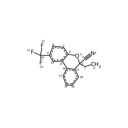 CCC1(C#N)Oc2ccc(C(F)(F)F)cc2-c2ccccc21